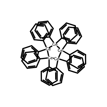 c1cc[c]([Ge]2([c]3ccccc3)[Ge]([c]3ccccc3)([c]3ccccc3)[Ge]([c]3ccccc3)([c]3ccccc3)[Ge]([c]3ccccc3)([c]3ccccc3)[Ge]2([c]2ccccc2)[c]2ccccc2)cc1